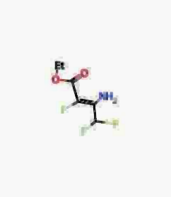 CCOC(=O)/C(F)=C(\N)C(F)F